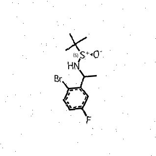 CC(N[S@+]([O-])C(C)(C)C)c1cc(F)ccc1Br